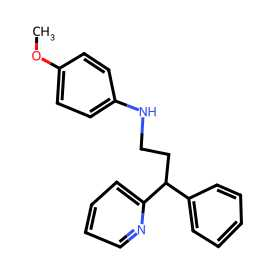 COc1ccc(NCCC(c2ccccc2)c2ccccn2)cc1